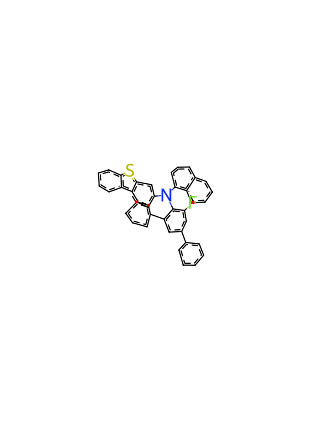 Fc1cc(-c2ccccc2)cc(-c2ccccc2)c1N(c1ccc2c(c1)sc1ccccc12)c1cccc2ccccc12